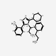 CCCC1C=CC=C[C@@H]1C(CC)n1c(-c2ccccc2C)nnc1C1CCCCC1